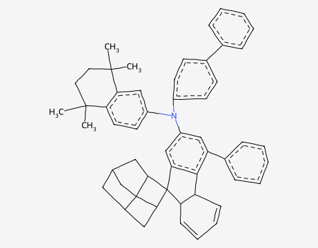 CC1(C)CCC(C)(C)c2cc(N(c3ccc(-c4ccccc4)cc3)c3cc(-c4ccccc4)c4c(c3)C3(C5C=CC=CC45)C4CC5CC6CC3C64C5)ccc21